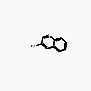 FC(F)(F)c1[c]c2ccccc2nc1